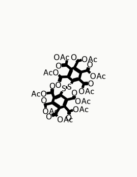 CC(=O)OC(=O)c1c(SSc2c(C(=O)OC(C)=O)c(C(=O)OC(C)=O)c(C(=O)OC(C)=O)c(C(=O)OC(C)=O)c2C(=O)OC(C)=O)c(C(=O)OC(C)=O)c(C(=O)OC(C)=O)c(C(=O)OC(C)=O)c1C(=O)OC(C)=O